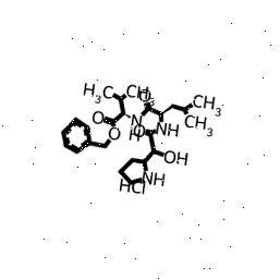 CC(C)C[C@@H](NC(=O)C(O)C1CCCN1)C(=O)N[C@H](C(=O)OCc1ccccc1)C(C)C.Cl